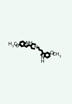 COc1ccc2[nH]c(C3CCN(CCCc4c[nH]c5ccc(OC)cc45)CC3)cc2c1